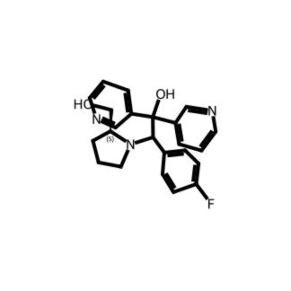 OC[C@@H]1CCCN1C(c1ccc(F)cc1)C(O)(c1cccnc1)c1cccnc1